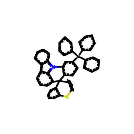 c1ccc([Si](c2ccccc2)(c2ccccc2)c2ccc3c(c2)-n2c4ccccc4c4cccc(c42)C32c3ccccc3Sc3ccccc32)cc1